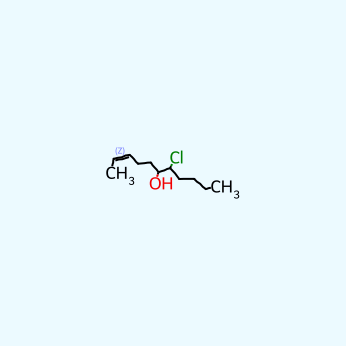 C/C=C\CCC(O)C(Cl)CCCC